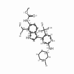 COC(=O)Nc1ccc2c(-c3nc(N[C@H]4CCCN(C)C4)ncc3C(F)(F)F)c[nH]c2c1C(F)F